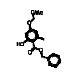 COCOc1cc(C)c(C(=O)OCc2ccccc2)c(O)c1